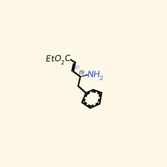 CCOC(=O)/C=C/[C@@H](N)Cc1ccccc1